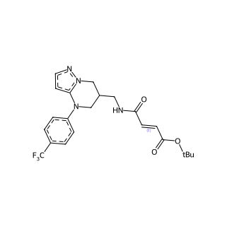 CC(C)(C)OC(=O)/C=C/C(=O)NCC1CN(c2ccc(C(F)(F)F)cc2)c2ccnn2C1